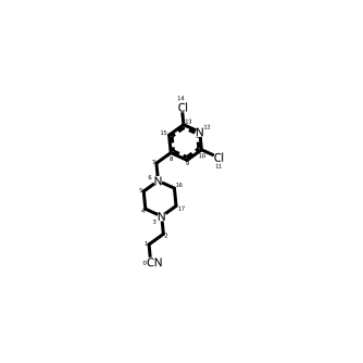 N#CCCN1CCN(Cc2cc(Cl)nc(Cl)c2)CC1